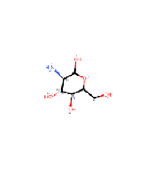 N[C@H]1C(O)OC(CO)[C@@H](O)[C@@H]1O